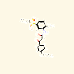 CNS(=O)(=O)c1ccc(OC(C)=O)c(NC(=O)CC(=O)c2ccc(OC)cc2)c1